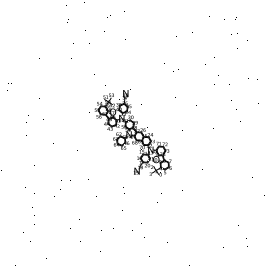 CC(C)(C)c1cccc2c1oc1c(N(c3ccc(C#N)cc3)c3ccc4cc5c6ccc(N(c7ccc(C#N)cc7)c7cccc8c7oc7c(C(C)(C)C)cccc78)cc6n(-c6ccccc6)c5cc4c3)cccc12